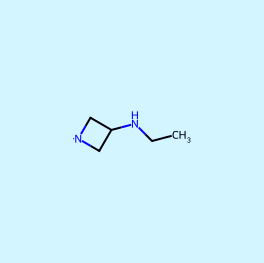 CCNC1C[N]C1